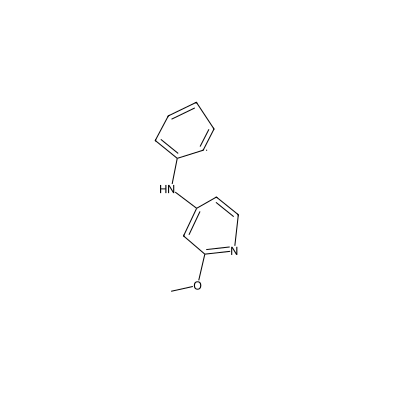 COc1cc(Nc2[c]cccc2)ccn1